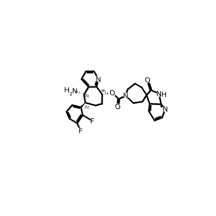 N[C@@H]1c2cccnc2[C@H](OC(=O)N2CCCC3(CC2)C(=O)Nc2ncccc23)CC[C@H]1c1cccc(F)c1F